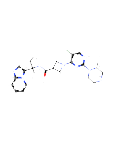 CCC(C)(NC(=O)C1CN(c2nc(N3CCNC[C@@H]3C)ncc2Cl)C1)c1cnc2ccccn12